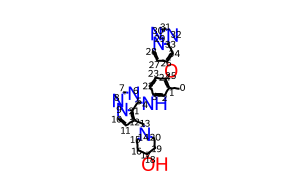 Cc1cc(Nc2ncnn3ccc(CN4CCC(O)CC4)c23)ccc1Oc1ccn2ncnc2c1